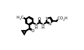 Cc1ccc(NC(=O)Nc2nc(CC(=O)O)cs2)c(C(=O)C2CC2)c1